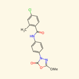 COc1nn(-c2ccc(NC(=O)c3ccc(Cl)cc3C)cc2)c(=O)o1